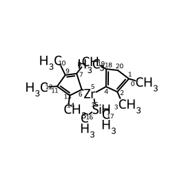 CC1=C(C)[C]([Zr]([CH]2C(C)=C(C)C(C)=C2C)[SiH](C)C)=C(C)C1